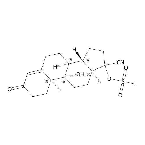 C[C@]12CC[C@]3(O)[C@@H](CCC4=CC(=O)CC[C@@]43C)[C@@H]1CCC2(C#N)OS(C)(=O)=O